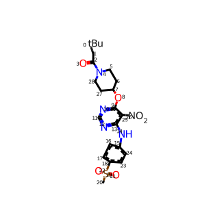 CC(C)(C)CC(=O)N1CCC(Oc2ncnc(Nc3ccc(S(C)(=O)=O)cc3)c2[N+](=O)[O-])CC1